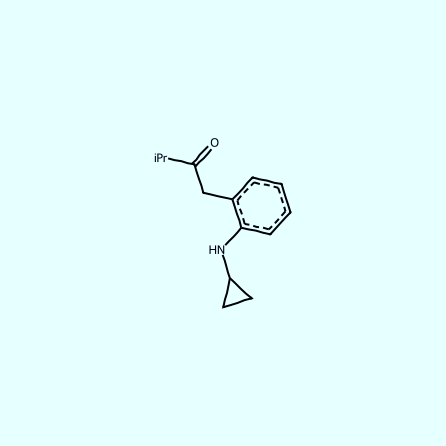 CC(C)C(=O)Cc1ccccc1NC1CC1